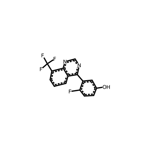 Oc1ccc(F)c(-c2ncnc3c(C(F)(F)F)cccc23)c1